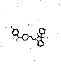 CC1(c2ccccc2)C(=O)N(CCN2CCC(C(=O)c3ccc(F)cc3)CC2)c2ccccc21.Cl